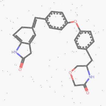 O=C1CC2=CC(=Cc3ccc(Oc4ccc(CC5COCC(=O)N5)cc4)cc3)CC=C2N1